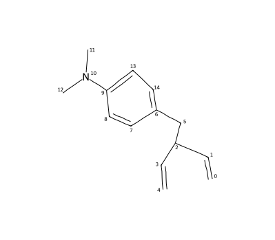 C=CC(C=C)Cc1ccc(N(C)C)cc1